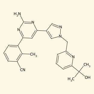 Cc1c(C#N)cccc1-c1cc(-c2cnn(Cc3cccc(C(C)(C)O)n3)c2)nc(N)n1